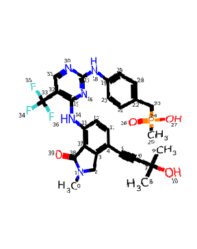 CN1Cc2c(C#CC(C)(C)O)ccc(Nc3nc(Nc4ccc(CP(C)(=O)O)cc4)ncc3C(F)(F)F)c2C1=O